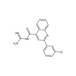 N=C(N)NC(=O)c1cc(-c2cccc(Cl)c2)nc2ccccc12